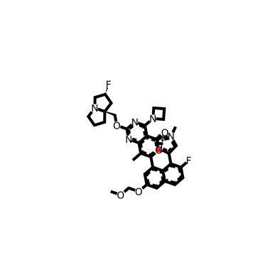 COCOc1cc(-c2oc(=O)c3c(N4CCC4)nc(OC[C@@]45CCCN4C[C@H](F)C5)nc3c2C)c2c(-c3cn(C)nn3)c(F)ccc2c1